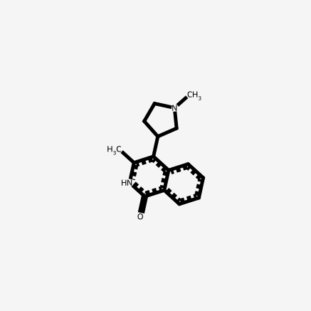 Cc1[nH]c(=O)c2ccccc2c1C1CCN(C)C1